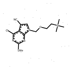 CSc1nc(Cl)c2c(C#N)cn(COCC[Si](C)(C)C)c2n1